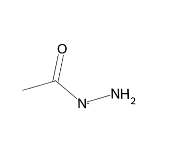 CC(=O)[N]N